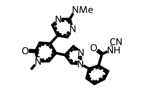 CNc1ncc(-c2cc(=O)n(C)cc2-c2cnn(-c3ccccc3C(=O)NC#N)c2)cn1